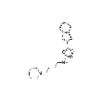 c1ccc2sc(-c3nnc(NCCCCN4CCOCC4)o3)cc2c1